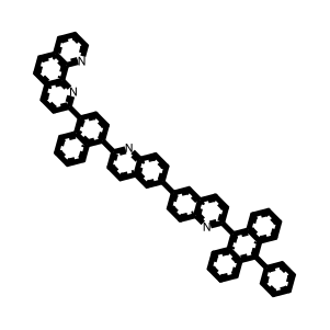 c1ccc(-c2c3ccccc3c(-c3ccc4cc(-c5ccc6nc(-c7ccc(-c8ccc9ccc%10cccnc%10c9n8)c8ccccc78)ccc6c5)ccc4n3)c3ccccc23)cc1